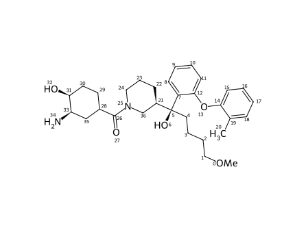 COCCCC[C@@](O)(c1ccccc1Oc1ccccc1C)[C@@H]1CCCN(C(=O)C2CC[C@H](O)[C@H](N)C2)C1